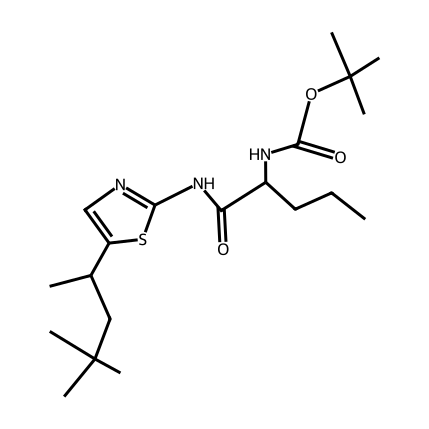 CCCC(NC(=O)OC(C)(C)C)C(=O)Nc1ncc(C(C)CC(C)(C)C)s1